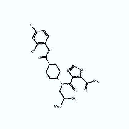 COC(C)CN(C(=O)c1nc[nH]c1C(N)=O)[C@H]1CC[C@H](C(=O)Nc2ccc(F)cc2Cl)CC1